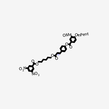 CCCCCOc1ccc(C(=O)Oc2ccc(/C=C/C(=O)OCCCCCCOC(=O)c3cc([N+](=O)[O-])cc([N+](=O)[O-])c3)cc2)cc1OC